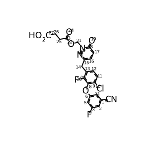 N#Cc1cc(F)cc(Oc2c(Cl)ccc(Cc3ccc(=O)n(COC(=O)CCC(=O)O)n3)c2F)c1